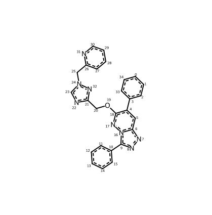 c1ccc(-c2cc3nnc(-c4ccccc4)n3nc2OCc2ncn(Cc3ccccn3)n2)cc1